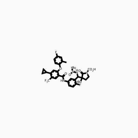 Cc1cc(F)ccc1Oc1cc(C2CC2)c(C(F)(F)F)cc1C(=O)Nc1ccc(F)c(C(N[S+]([O-])C(C)(C)C)C2(C(C)(C)C)CCN(C(=O)O)C2=O)c1